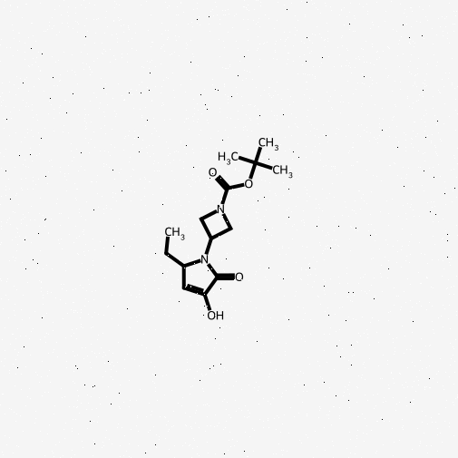 CCC1C=C(O)C(=O)N1C1CN(C(=O)OC(C)(C)C)C1